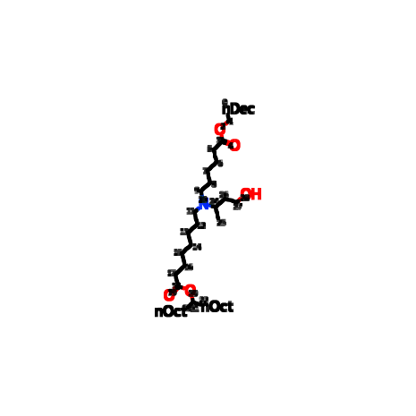 CCCCCCCCCCCOC(=O)CCCCCN(CCCCCCCC(=O)OC(CCCCCCCC)CCCCCCCC)C(C)CCO